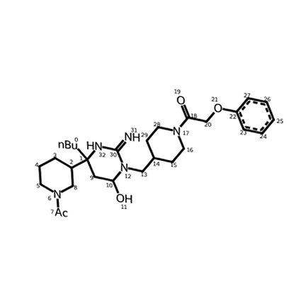 CCCCC1(C2CCCN(C(C)=O)C2)CC(O)N(CC2CCN(C(=O)COc3ccccc3)CC2)C(=N)N1